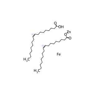 CCCCCCCC/C=C\CCCCCCCC(=O)O.CCCCCCCC/C=C\CCCCCCCC(=O)[O][Zn].[Fe]